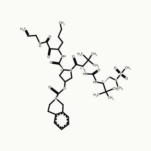 C=CCNC(=O)C(=O)C(CCCC)NC(=O)[C@@H]1CC(OC(=O)N2CCc3ccccc3C2)CN1C(=O)[C@@H](NC(=O)N[C@H](CN(C)S(C)(=O)=O)C(C)(C)C)C(C)(C)C